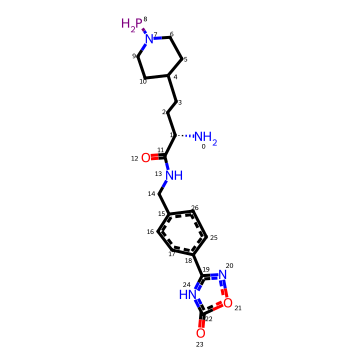 N[C@@H](CCC1CCN(P)CC1)C(=O)NCc1ccc(-c2noc(=O)[nH]2)cc1